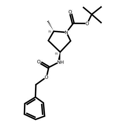 C[C@H]1C[C@H](NC(=O)OCc2ccccc2)CN1C(=O)OC(C)(C)C